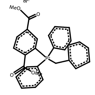 COC(=O)c1ccc(C(=O)OC)c([P+](Cc2ccccc2)(c2ccccc2)c2ccccc2)c1.[Br-]